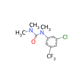 CN(C)C(=O)N(C)c1cc(Cl)cc(C(F)(F)F)c1